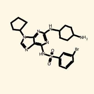 NC1CCC(Nc2nc(NS(=O)(=O)c3cccc(Br)c3)c3ncn(C4CCCC4)c3n2)CC1